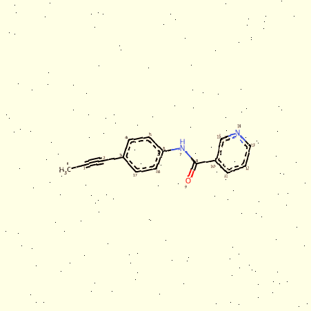 CC#Cc1ccc(NC(=O)c2cccnc2)cc1